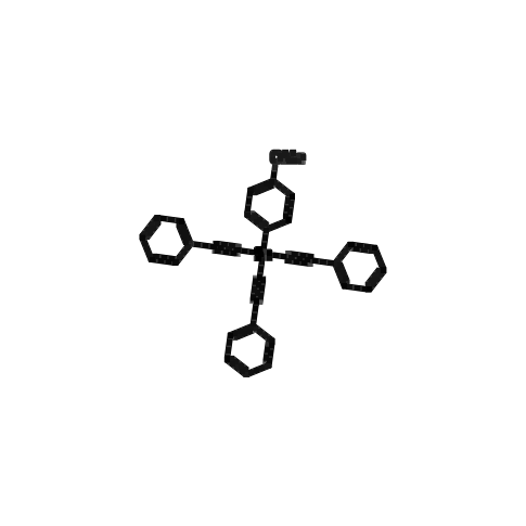 COc1cc[c]([Sn]([C]#Cc2ccccc2)([C]#Cc2ccccc2)[C]#Cc2ccccc2)cc1